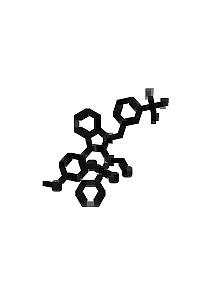 COc1ccc(-c2c(N(C=O)S(=O)(=O)c3ccccc3)n(Cc3cccc(C(F)(F)F)c3)c3ccccc23)cc1